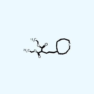 CCOC(=O)C(CCCC1CCCCCCCCCC1)C(=O)OCC